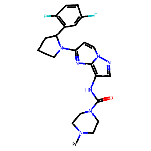 CC(C)N1CCN(C(=O)Nc2cnn3ccc(N4CCCC4c4cc(F)ccc4F)nc23)CC1